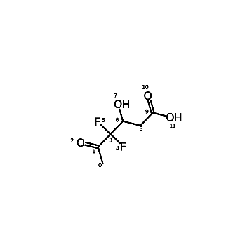 CC(=O)C(F)(F)C(O)CC(=O)O